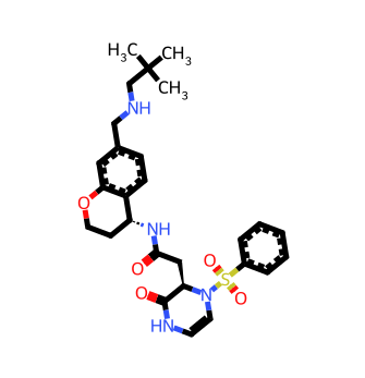 CC(C)(C)CNCc1ccc2c(c1)OCC[C@H]2NC(=O)C[C@@H]1C(=O)NC=CN1S(=O)(=O)c1ccccc1